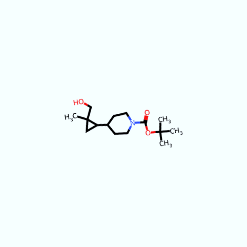 CC(C)(C)OC(=O)N1CCC(C2CC2(C)CO)CC1